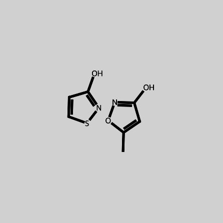 Cc1cc(O)no1.Oc1ccsn1